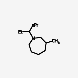 CCCC(CC)N1CCCCC(C)C1